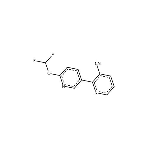 N#Cc1cccnc1-c1ccc(OC(F)F)nc1